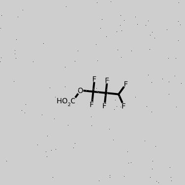 O=C(O)OC(F)(F)C(F)(F)C(F)F